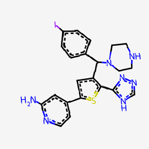 Nc1cc(-c2cc(C(c3ccc(I)cc3)N3CCNCC3)c(-c3nnc[nH]3)s2)ccn1